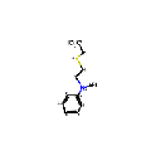 CCN(CCSCC(=O)O)c1ccccc1